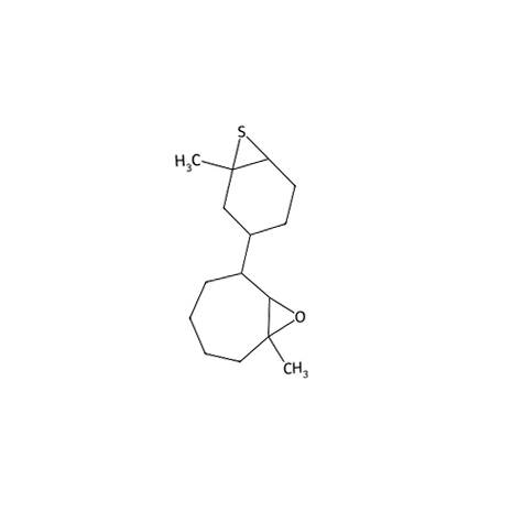 CC12CCCCC(C3CCC4SC4(C)C3)C1O2